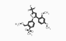 COCc1cc(-n2nc(C(F)(F)F)cc2-c2ccc(OC)cc2OC)ccc1S(C)(=O)=O